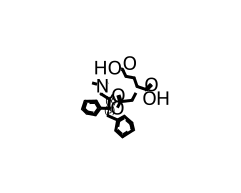 CCC(=O)O[C@](Cc1ccccc1)(c1ccccc1)[C@H](C)CN(C)C.O=C(O)CCCC(=O)O